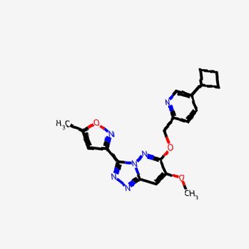 COc1cc2nnc(-c3cc(C)on3)n2nc1OCc1ccc(C2CCC2)cn1